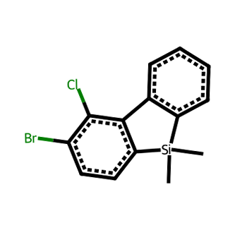 C[Si]1(C)c2ccccc2-c2c1ccc(Br)c2Cl